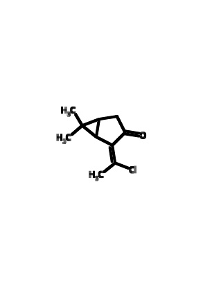 CC(Cl)=C1C(=O)CC2C1C2(C)C